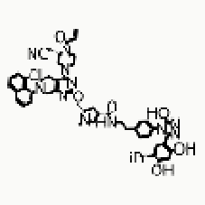 C=CC(=O)N1CCN(c2nc(OC[C@@H]3C[C@H](C(=O)NCCc4ccc(-n5c(O)nnc5-c5cc(C(C)C)c(O)cc5O)cc4)CN3C)nc3c2CCN(c2cccc4cccc(Cl)c24)C3)C[C@@H]1CC#N